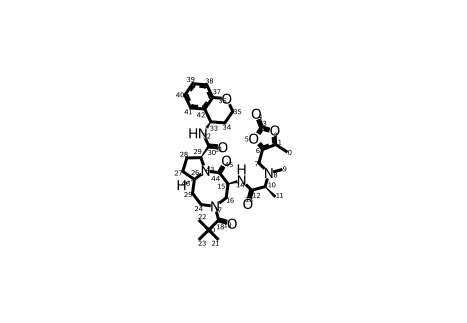 Cc1oc(=O)oc1CN(C)[C@@H](C)C(=O)N[C@H]1CN(C(=O)C(C)(C)C)CC[C@H]2CC[C@@H](C(=O)N[C@@H]3CCOc4ccccc43)N2C1=O